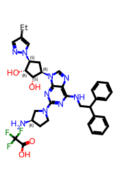 CCc1cnn([C@H]2C[C@@H](n3cnc4c(NCC(c5ccccc5)c5ccccc5)nc(N5CC[C@@H](N)C5)nc43)[C@H](O)[C@@H]2O)c1.O=C(O)C(F)(F)F